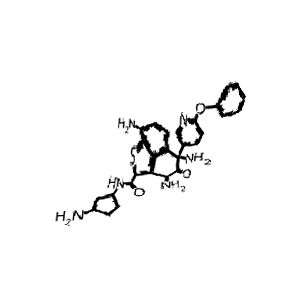 Nc1ccc2c3c(c(C(=O)NC4CCC(N)C4)sc13)C(N)C(=O)C2(N)c1ccc(Oc2ccccc2)nc1